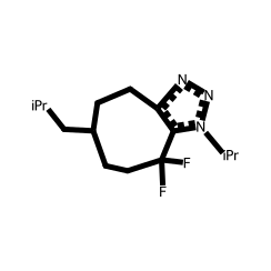 CC(C)CC1CCc2nnn(C(C)C)c2C(F)(F)CC1